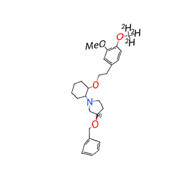 [2H]C([2H])([2H])Oc1ccc(CCOC2CCCCC2N2CC[C@@H](OCc3ccccc3)C2)cc1OC